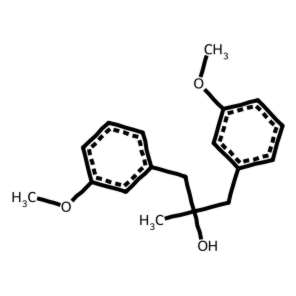 COc1cccc(CC(C)(O)Cc2cccc(OC)c2)c1